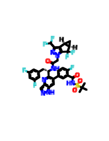 CC(C)(C)S(=O)(=O)NC(=O)c1cc(-c2cc3[nH]ncc3nc2[C@H](Cc2cc(F)cc(F)c2)NC(=O)Cn2nc(C(F)F)c3c2C(F)(F)[C@@H]2C[C@H]32)ccc1F